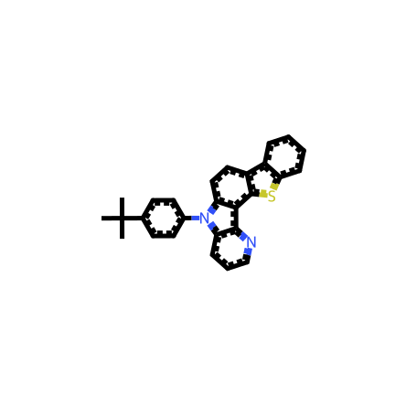 CC(C)(C)c1ccc(-n2c3cccnc3c3c4sc5ccccc5c4ccc32)cc1